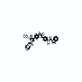 CN(C(=O)Cc1ccc(NC(=O)N2CCc3ccccc32)cc1)c1ccc(C2CN(C(=O)CN3CCOCC3)CC2C(=O)O)cc1